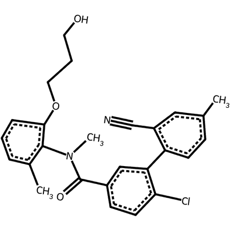 Cc1ccc(-c2cc(C(=O)N(C)c3c(C)cccc3OCCCO)ccc2Cl)c(C#N)c1